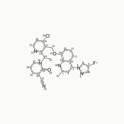 Cc1cc(-n2cc(F)cn2)c2cccc(OCc3c(Cl)ccnc3C(C)n3cccc(C#N)c3=O)c2n1